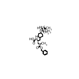 CN(C[C@H](CC1CCC(O[Si](C)(C)C(C)(C)C)CC1)NC(=O)O)C(=O)OCc1ccccc1